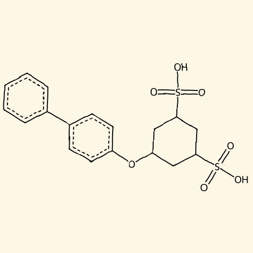 O=S(=O)(O)C1CC(Oc2ccc(-c3ccccc3)cc2)CC(S(=O)(=O)O)C1